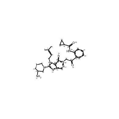 CC(C)=CCn1c(N2CCCC(N)C2)nc2cnn(CC(=O)c3ccccc3NC(=O)C3CC3)c(=O)c21